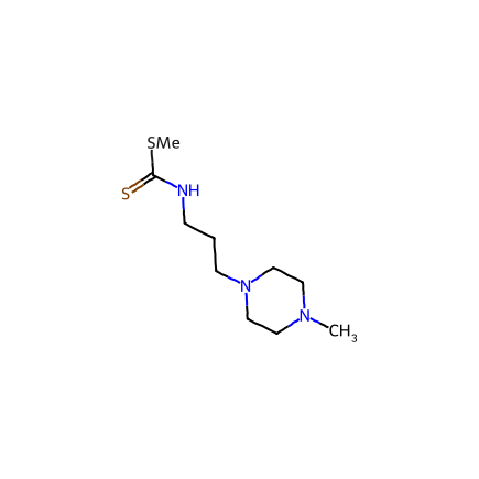 CSC(=S)NCCCN1CCN(C)CC1